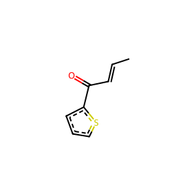 CC=CC(=O)c1cccs1